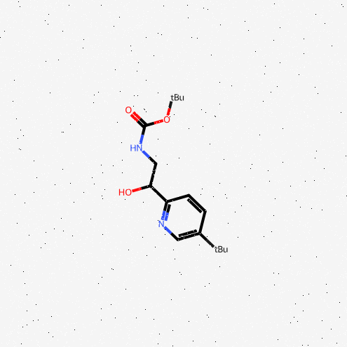 CC(C)(C)OC(=O)NCC(O)c1ccc(C(C)(C)C)cn1